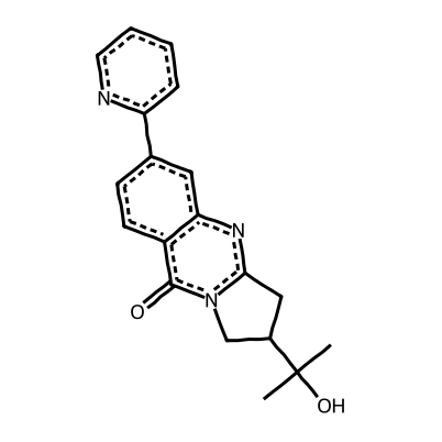 CC(C)(O)C1Cc2nc3cc(-c4ccccn4)ccc3c(=O)n2C1